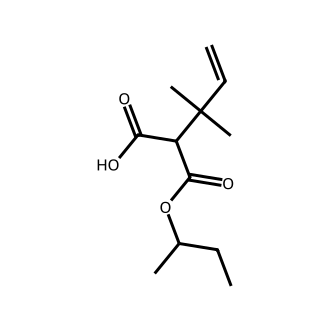 C=CC(C)(C)C(C(=O)O)C(=O)OC(C)CC